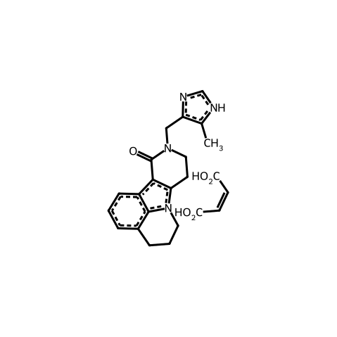 Cc1[nH]cnc1CN1CCc2c(c3cccc4c3n2CCC4)C1=O.O=C(O)/C=C\C(=O)O